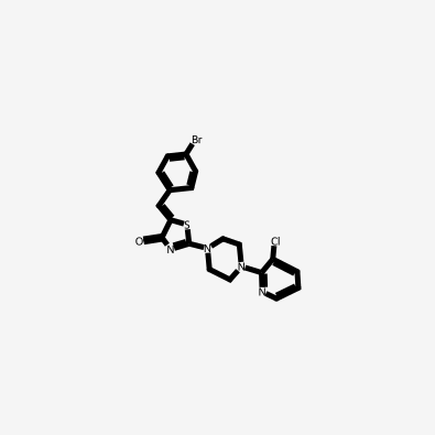 O=C1N=C(N2CCN(c3ncccc3Cl)CC2)SC1=Cc1ccc(Br)cc1